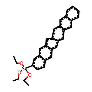 CCO[Si](OCC)(OCC)c1ccc2cc3cc4cc5cc6ccccc6cc5cc4cc3cc2c1